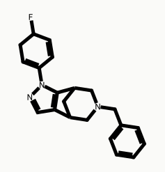 FC1C=CC(n2ncc3c2C2CC3CN(Cc3ccccc3)C2)=CC1